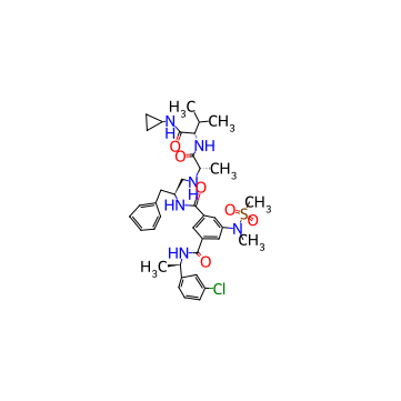 CC(C)[C@H](NC(=O)[C@H](C)NC[C@H](Cc1ccccc1)NC(=O)c1cc(C(=O)N[C@H](C)c2cccc(Cl)c2)cc(N(C)S(C)(=O)=O)c1)C(=O)NC1CC1